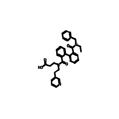 CCN(Cc1ccccc1)C(=O)c1ccccc1-c1ccccc1C(=O)N(CCC(=O)O)CCc1cccnc1